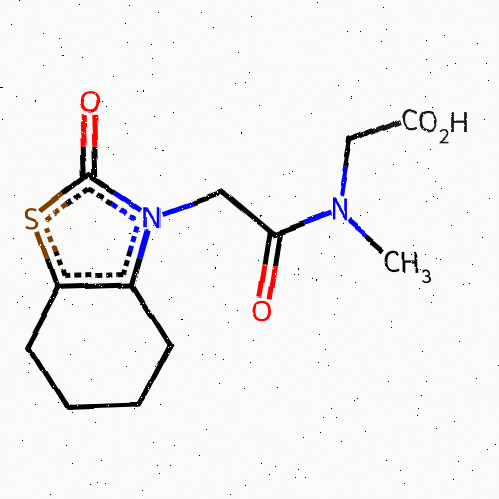 CN(CC(=O)O)C(=O)Cn1c2c(sc1=O)CCCC2